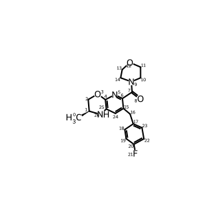 C[C@H]1COc2nc(C(=O)N3CCOCC3)c(Cc3ccc(F)cc3)cc2N1